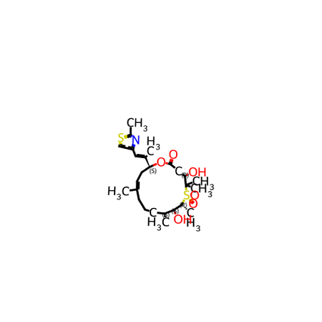 CC1=CC[C@@H](C(C)=Cc2csc(C)n2)OC(=O)C[C@@H](O)C(C)(C)S(=O)(=O)[C@H](C)[C@@H](O)[C@@H](C)CCC1